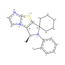 Cc1ccccc1N1[C@@H](C)c2c(sc3nccn23)C12CCCCC2